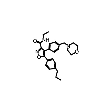 CCCc1ccc(-c2onc(C(=O)NCC)c2-c2ccc(CN3CCOCC3)cc2)cc1